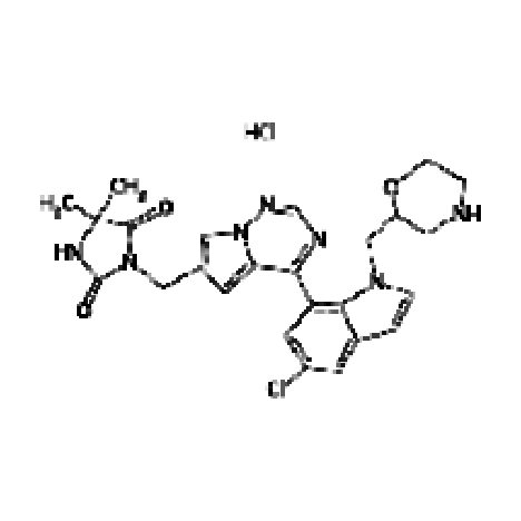 CC1(C)NC(=O)N(Cc2cc3c(-c4cc(Cl)cc5ccn(CC6CNCCO6)c45)ncnn3c2)C1=O.Cl